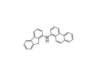 c1ccc2c(c1)Cc1c(Nc3cccc4c3ccc3ccccc34)cccc1-2